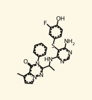 Cc1ccn2nc(C(C)Nc3ncnc(N)c3Sc3ccc(O)c(F)c3)n(-c3ccccc3)c(=O)c12